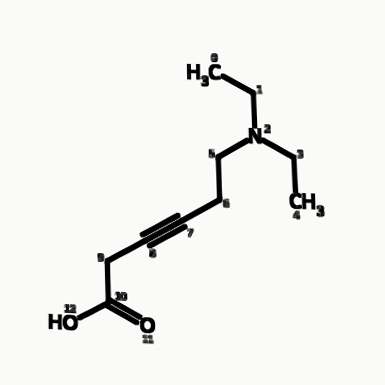 CCN(CC)CCC#CCC(=O)O